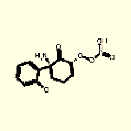 N[C@]1(c2ccccc2Cl)CCC[C@@H](OO[PH](=O)O)C1=O